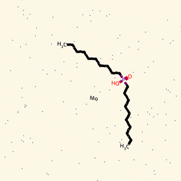 CCCCCCCCCCP(=O)(O)CCCCCCCCCC.[Mo]